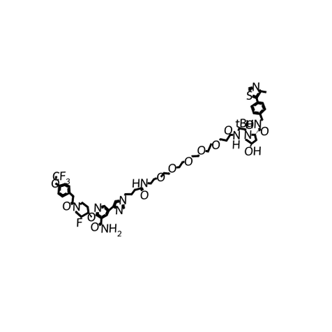 Cc1ncsc1-c1ccc(CNC(=O)[C@@H]2C[C@@H](O)CN2C(=O)[C@@H](NC(=O)CCOCCOCCOCCOCCOCCNC(=O)CCCn2cnc(-c3cnc(O[C@@H]4CCN(C(=O)Cc5ccc(OC(F)(F)F)cc5)C[C@H]4F)c(C(N)=O)c3)c2)C(C)(C)C)cc1